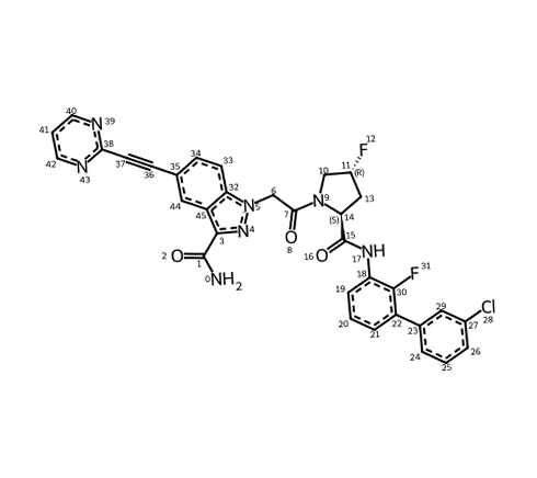 NC(=O)c1nn(CC(=O)N2C[C@H](F)C[C@H]2C(=O)Nc2cccc(-c3cccc(Cl)c3)c2F)c2ccc(C#Cc3ncccn3)cc12